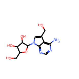 Nc1ncnc2c1c(CO)cn2C1OC(CO)C(O)C1O